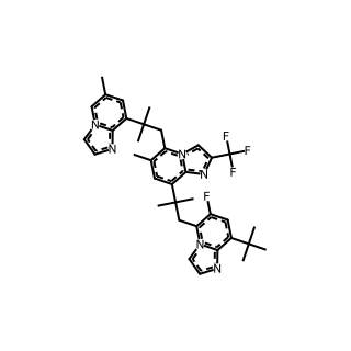 Cc1cc(C(C)(C)Cc2c(C)cc(C(C)(C)Cc3c(F)cc(C(C)(C)C)c4nccn34)c3nc(C(F)(F)F)cn23)c2nccn2c1